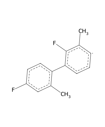 Cc1[c]ccc(-c2ccc(F)cc2C)c1F